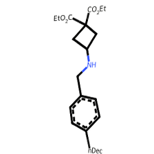 CCCCCCCCCCc1ccc(CNC2CC(C(=O)OCC)(C(=O)OCC)C2)cc1